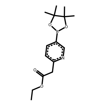 CCOC(=O)Cc1ccc(B2OC(C)(C)C(C)(C)O2)cn1